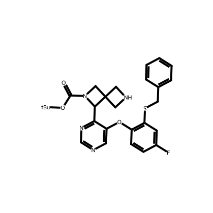 CC(C)(C)OC(=O)N1CC2(CNC2)C1c1ncncc1Oc1ccc(F)cc1SCc1ccccc1